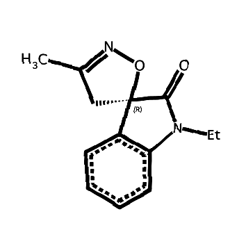 CCN1C(=O)[C@@]2(CC(C)=NO2)c2ccccc21